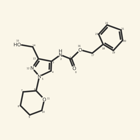 O=C(Nc1cn(C2CCCCO2)nc1CO)OCc1ccccc1